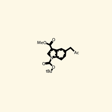 COC(=O)c1cn(C(=O)OC(C)(C)C)c2ccc(CC(C)=O)cc12